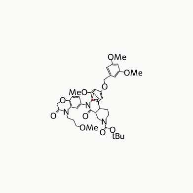 COCCCN1C(=O)COc2ccc(N(C(=O)C3CN(C(=O)OC(C)(C)C)CC[C@@H]3c3cc(OC)cc(OCc4cc(OC)cc(OC)c4)c3)C3CC3)cc21